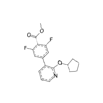 COC(=O)c1c(F)cc(-c2cccnc2OC2CCCC2)cc1F